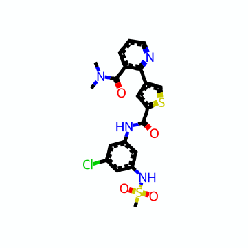 CN(C)C(=O)c1cccnc1-c1csc(C(=O)Nc2cc(Cl)cc(NS(C)(=O)=O)c2)c1